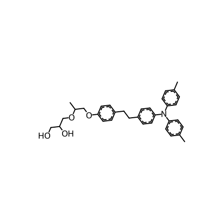 Cc1ccc(N(c2ccc(C)cc2)c2ccc(CCc3ccc(OCC(C)OCC(O)CO)cc3)cc2)cc1